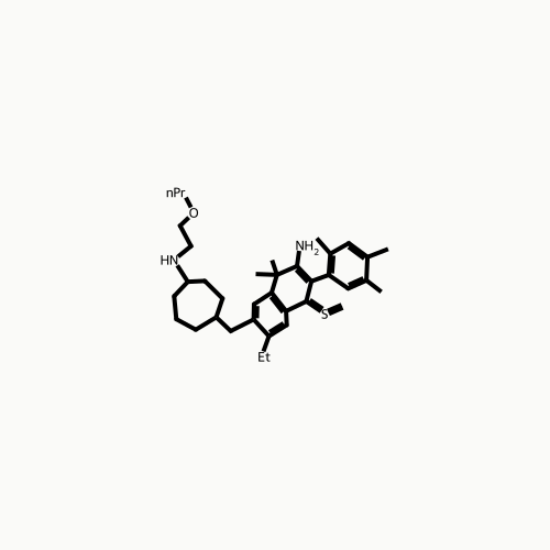 C=S=C1C(c2cc(C)c(C)cc2C)=C(N)C(C)(C)c2cc(CC3CCCC(NCCOCCC)CC3)c(CC)cc21